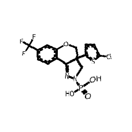 O=P(O)(O)N1CC2(c3ccc(Cl)s3)COc3cc(C(F)(F)F)ccc3C2=N1